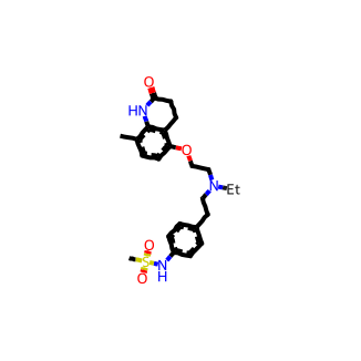 CCN(CCOc1ccc(C)c2c1CCC(=O)N2)CCc1ccc(NS(C)(=O)=O)cc1